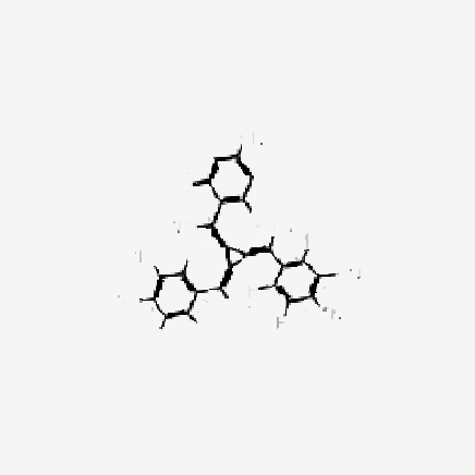 N#CC(=C1C(=C(\C#N)c2c(C(F)(F)F)cc(C#N)cc2C(F)(F)F)/C1=C(\C#N)c1c(F)c(F)c(C#N)c(C#N)c1F)c1c(F)c(F)c(C#N)c(C#N)c1F